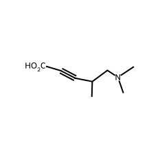 CC(C#CC(=O)O)CN(C)C